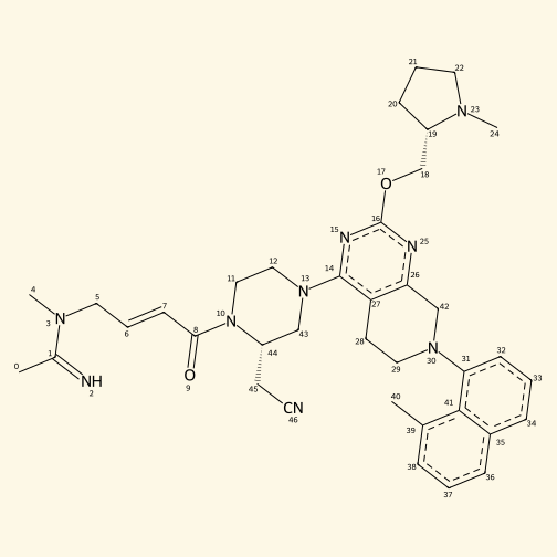 CC(=N)N(C)C/C=C/C(=O)N1CCN(c2nc(OC[C@@H]3CCCN3C)nc3c2CCN(c2cccc4cccc(C)c24)C3)C[C@@H]1CC#N